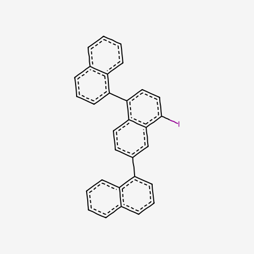 Ic1ccc(-c2cccc3ccccc23)c2ccc(-c3cccc4ccccc34)cc12